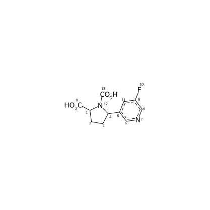 O=C(O)C1CCC(c2cncc(F)c2)N1C(=O)O